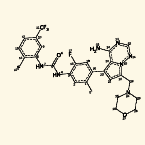 Cc1cc(NC(=O)Nc2cc(C(F)(F)F)ccc2F)c(F)cc1-c1cc(CN2CCOCC2)n2ncnc(N)c12